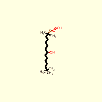 CC(C)(C)CCCCCC(O)CCCCCC(C)(C)SOOO